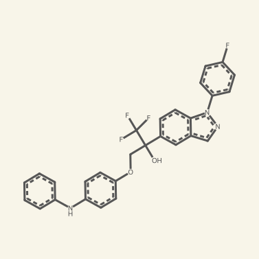 OC(COc1ccc(Nc2ccccc2)cc1)(c1ccc2c(cnn2-c2ccc(F)cc2)c1)C(F)(F)F